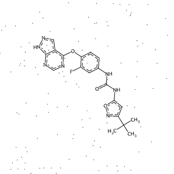 CC(C)(C)c1cc(NC(=O)Nc2ccc(Oc3ncnc4[nH]ncc34)c(F)c2)on1